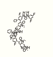 CCn1c(=O)c(-c2cc(N(CC(=O)Nc3cc4c(cn3)cc(-c3cc(NC(=O)Nc5cc(F)cc(F)c5)c(F)cc3Cl)c(=O)n4CC)C(=O)Nc3ccccc3)c(F)cc2F)cc2cnc(NC(C)=O)cc21